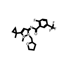 Cn1c(C2(C)CC2)c/c(=N/C(=O)c2cc(C(F)(F)F)ccc2F)n1CC1CCCO1